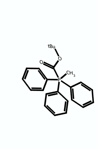 CC(C)(C)OC(=O)P(C)(c1ccccc1)(c1ccccc1)c1ccccc1